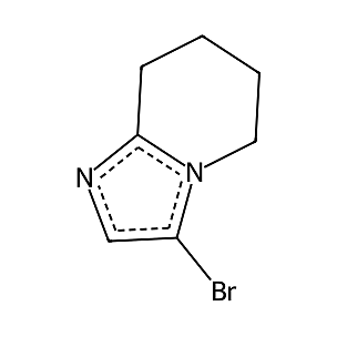 Brc1cnc2n1CCCC2